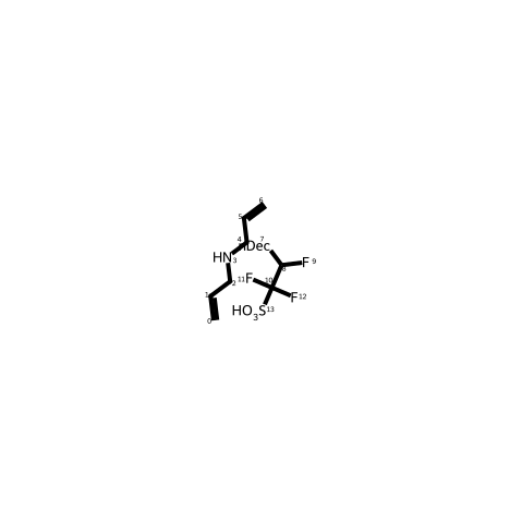 C=CCNCC=C.CCCCCCCCCCC(F)C(F)(F)S(=O)(=O)O